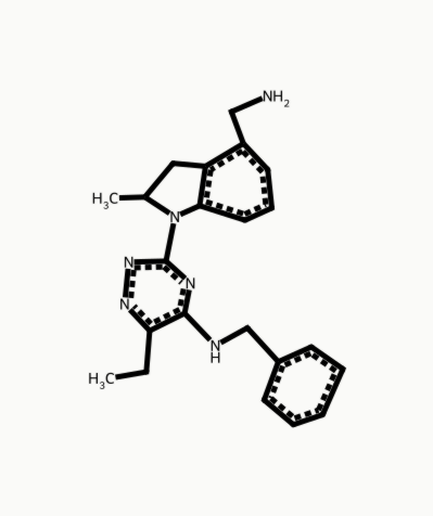 CCc1nnc(N2c3cccc(CN)c3CC2C)nc1NCc1ccccc1